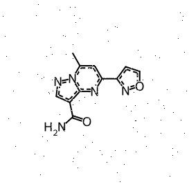 Cc1cc(-c2ccon2)nc2c(C(N)=O)cnn12